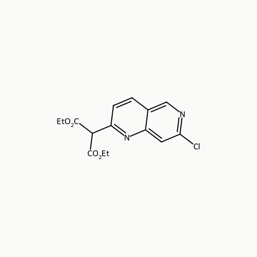 CCOC(=O)C(C(=O)OCC)c1ccc2cnc(Cl)cc2n1